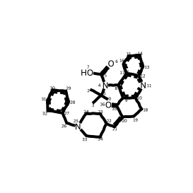 CC(C)(C)N(C(=O)O)c1c2c(nc3ccccc13)CCC(=CC1CCN(Cc3ccccc3)CC1)C2=O